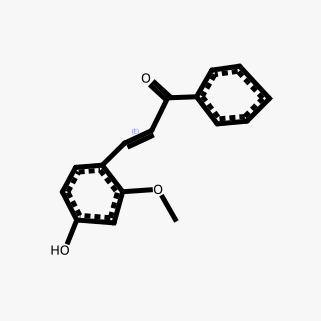 COc1cc(O)ccc1/C=C/C(=O)c1ccccc1